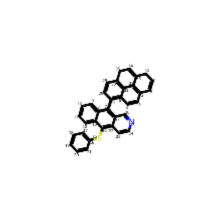 C1=Cc2ccc3c(-c4c5ccccc5c(Sc5ccccc5)c5ccncc45)ccc4c3c2C(=CC4)C1